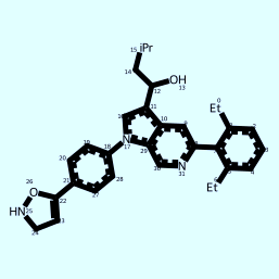 CCc1cccc(CC)c1-c1cc2c(C(O)CC(C)C)cn(-c3ccc(C4=CCNO4)cc3)c2cn1